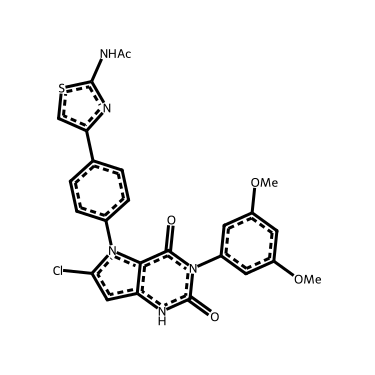 COc1cc(OC)cc(-n2c(=O)[nH]c3cc(Cl)n(-c4ccc(-c5csc(NC(C)=O)n5)cc4)c3c2=O)c1